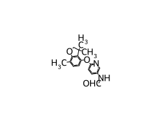 Cc1ccc(Oc2ccc(NC=O)cn2)c2c1OCC2(C)C